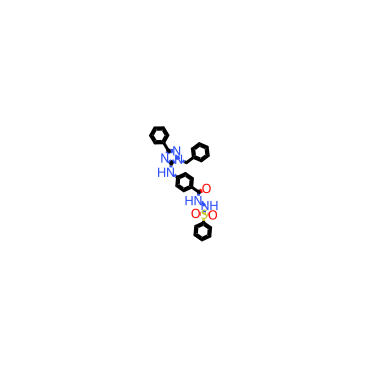 O=C(NNS(=O)(=O)c1ccccc1)c1ccc(Nc2nc(-c3ccccc3)nn2Cc2ccccc2)cc1